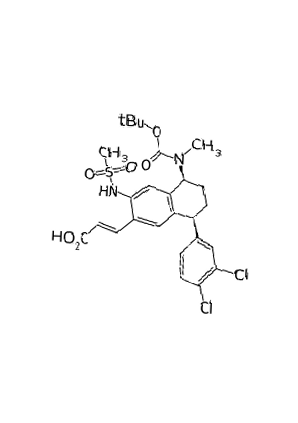 CN(C(=O)OC(C)(C)C)[C@H]1CC[C@@H](c2ccc(Cl)c(Cl)c2)c2cc(C=CC(=O)O)c(NS(C)(=O)=O)cc21